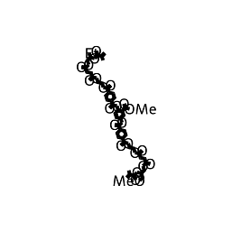 C=C(C)C(=O)OC(CC)COC(=O)CCC(=O)OCCOC(=O)C1CCC(C(=O)Oc2ccc(OC(=O)C3CCC(C(=O)OCCOC(=O)CCC(=O)OCC(COC)OC(=O)C(=C)C)CC3)cc2C(=O)OC)CC1